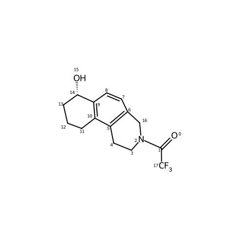 O=C(N1CCc2c(ccc3c2CCC[C@@H]3O)C1)C(F)(F)F